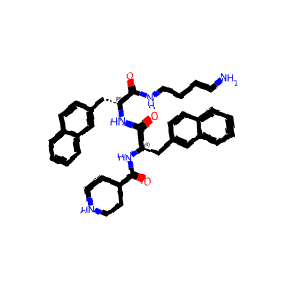 NCCCCNC(=O)[C@@H](Cc1ccc2ccccc2c1)NC(=O)[C@@H](Cc1ccc2ccccc2c1)NC(=O)C1CCNCC1